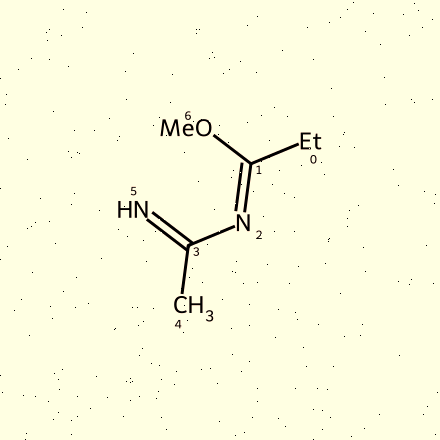 CC/C(=N/C(C)=N)OC